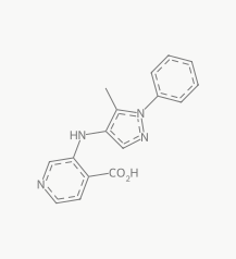 Cc1c(Nc2cnccc2C(=O)O)cnn1-c1ccccc1